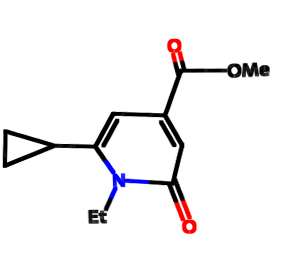 CCn1c(C2CC2)cc(C(=O)OC)cc1=O